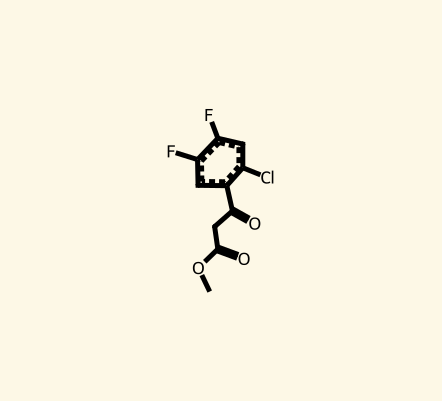 COC(=O)CC(=O)c1cc(F)c(F)cc1Cl